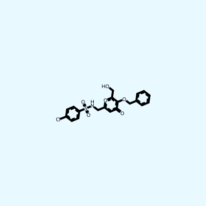 O=c1cc(CNS(=O)(=O)c2ccc(Cl)cc2)oc(CO)c1OCc1ccccc1